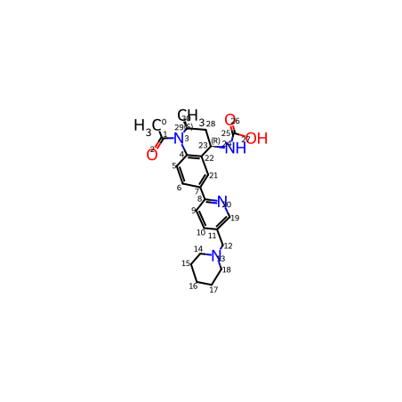 CC(=O)N1c2ccc(-c3ccc(CN4CCCCC4)cn3)cc2[C@H](NC(=O)O)C[C@@H]1C